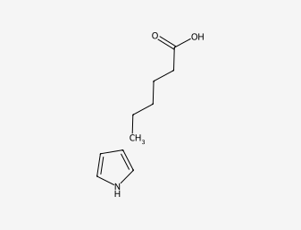 CCCCCC(=O)O.c1cc[nH]c1